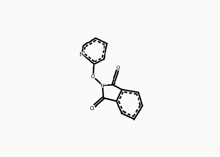 O=C1c2ccccc2C(=O)N1Oc1ccccn1